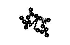 CCCCCCCCC1(CCCCCCCC)c2cc(-c3cc(-c4cccc(-c5cccc6c5c5cc(-c7ccccc7)ccc5n6-c5ccccc5)c4)nc(-c4ccccc4)n3)ccc2-c2ccc(-c3nc(-c4ccccc4)nc(-c4cccc(-c5cccc6c5c5cc(-c7ccccc7)ccc5n6-c5ccccc5)c4)n3)cc21